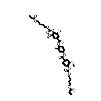 C=CC(=O)OCCCCOC(=O)Oc1ccc(C(=O)Oc2ccc(OC(=O)c3cc(OC)c(OC(=O)OCCCCOC(=O)C=C)c(OC)c3)c(C)c2)cc1OC